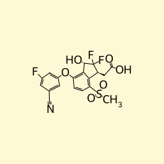 CS(=O)(=O)c1ccc(Oc2cc(F)cc(C#N)c2)c2c1[C@H](CC(=O)O)C(F)(F)[C@H]2O